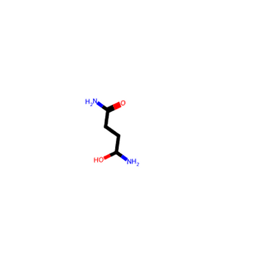 NC(=O)CCC(N)O